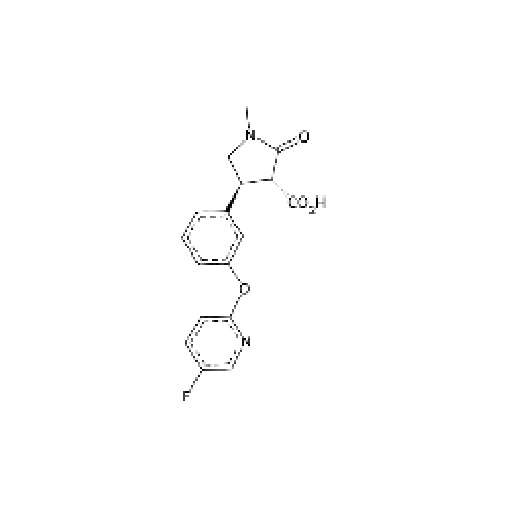 CN1C[C@H](c2cccc(Oc3ccc(F)cn3)c2)[C@@H](C(=O)O)C1=O